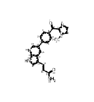 Cn1ccnc1C(=O)c1ccc(-c2cnc3[nH]cc(C=CC(N)=O)c3c2)cc1